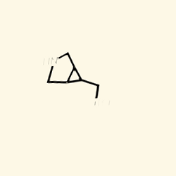 CC(C)(C)CC1C2CNCC21